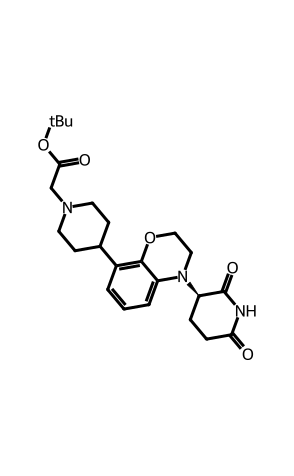 CC(C)(C)OC(=O)CN1CCC(c2cccc3c2OCCN3[C@@H]2CCC(=O)NC2=O)CC1